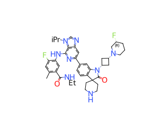 CCNC(=O)c1cc(Nc2nc(-c3ccc4c(c3)N([C@H]3C[C@@H](N5CCC[C@@H](F)C5)C3)C(=O)C43CCNCC3)cc3ncn(C(C)C)c23)c(F)cc1C